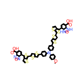 COc1ccc(N(c2ccc(-c3cc4c(s3)CC(c3sc(C5=CC=C(C(=O)O)C6NONC56)c5ccsc35)S4)cc2)c2ccc(-c3cc4sc(-c5sc(-c6ccc(C(=O)O)c7nonc67)c6ccsc56)cc4s3)cc2)cc1